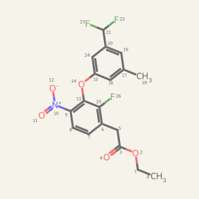 CCOC(=O)Cc1ccc([N+](=O)[O-])c(Oc2cc(C)cc(C(F)F)c2)c1F